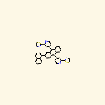 c1ccc2c(-c3ccc4c(-c5ccnc(-c6nccs6)c5)c5ccccc5c(-c5ccnc(-c6nccs6)c5)c4c3)cccc2c1